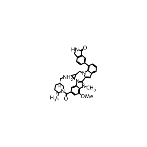 COc1cc(C(=O)N2C[C@H](CN)CC[C@@H]2C)cc2nc(-c3cc4cccc(-c5ccc6c(c5)C(=O)NC6)c4n3CC3CC3)n(C)c12